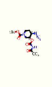 CC(C)(C)OC(=O)N1CC[C@@H](N=[N+]=[N-])[C@@H](OC(=O)NC(=O)C(Cl)(Cl)Cl)C1